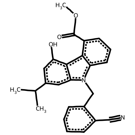 COC(=O)c1cccc2c1c1c(O)cc(C(C)C)cc1n2Cc1ccccc1C#N